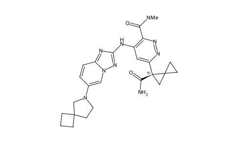 CNC(=O)c1nnc([C@@]2(C(N)=O)CC23CC3)cc1Nc1nc2ccc(N3CCC4(CCC4)C3)cn2n1